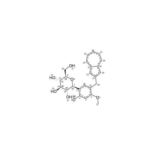 COc1cc(O)c([C@@H]2O[C@H](CO)[C@@H](O)[C@H](O)[C@H]2O)cc1Cc1cc2cccccc-2c1